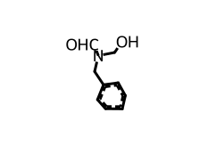 O=CN(CO)Cc1ccccc1